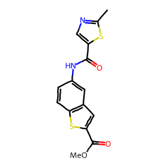 COC(=O)c1cc2cc(NC(=O)c3cnc(C)s3)ccc2s1